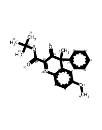 COc1ccc2c(c1)C(C)(c1ccccc1)C(=O)C(C(=O)OC(C)(C)C)=N2